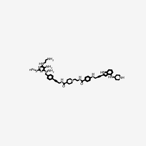 CCCSc1nc(NCCN)c(N)c(N(N)Cc2ccc(C#CCNC(=O)C3CCN(CCNC(=O)c4ccc(NCC#Cc5cc6c(NC7CCNCC7)cccc6[nH]5)cc4)CC3)cc2)n1